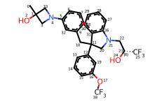 CC1(O)CN(c2cccc(CC3(c4cccc(OC(F)(F)F)c4)CN(C[C@@H](O)C(F)(F)F)c4ccccc43)c2)C1